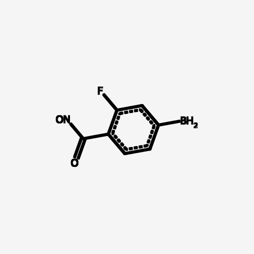 Bc1ccc(C(=O)N=O)c(F)c1